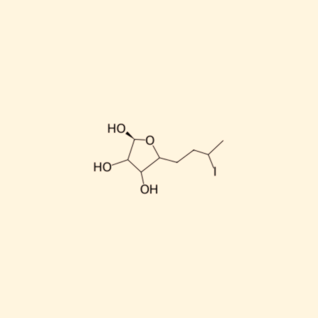 CC(I)CCC1O[C@H](O)C(O)C1O